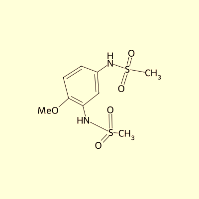 COc1ccc(NS(C)(=O)=O)cc1NS(C)(=O)=O